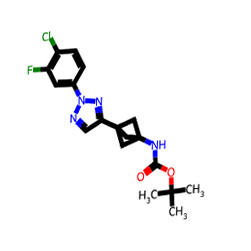 CC(C)(C)OC(=O)NC12CC(c3cnn(-c4ccc(Cl)c(F)c4)n3)(C1)C2